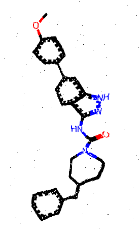 COc1ccc(-c2ccc3c(NC(=O)N4CCC(Cc5ccccc5)CC4)n[nH]c3c2)cc1